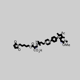 C=N/C(=C\c1c(C)c(C(C)=O)c(C)n1-c1ccc(N2CCN(CCC(C)(C)N/C=C(/C(=O)O)C(=O)OCCCCCN3C(=O)C=CC3=O)CC2)cc1)OC